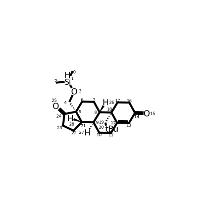 C[SiH](C)OC[C@]12CC[C@H]3[C@@H](CCC4=CC(=O)CC[C@@]43CC(C)(C)C)[C@@H]1CCC2=O